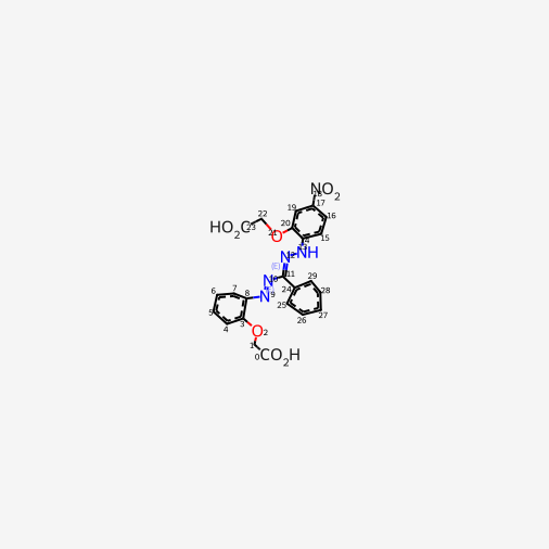 O=C(O)COc1ccccc1/N=N/C(=N/Nc1ccc([N+](=O)[O-])cc1OCC(=O)O)c1ccccc1